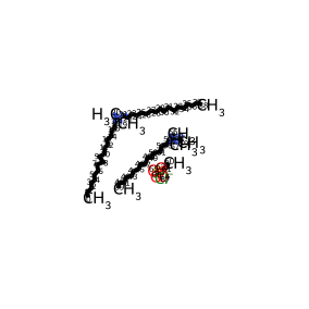 CCCCCCCCCCCCCCCCCC[N+](C)(C)CCCCCCCCCCCCCCCCCC.CCCCCCCCCCCCCCCC[N+](C)(C)CC.CCOS(=O)(=O)[O-].[Cl-]